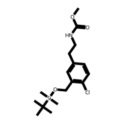 COC(=O)NCCc1ccc(Cl)c(CO[Si](C)(C)C(C)(C)C)c1